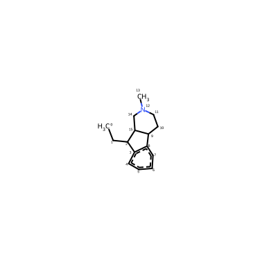 CCC1c2ccccc2C2CCN(C)CC12